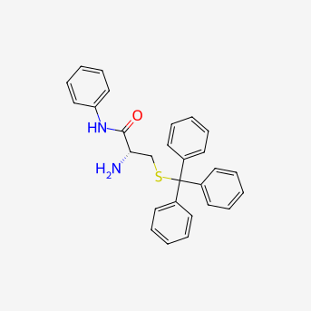 N[C@@H](CSC(c1ccccc1)(c1ccccc1)c1ccccc1)C(=O)Nc1ccccc1